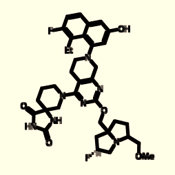 CCc1c(F)ccc2cc(O)cc(N3CCc4c(nc(OCC56CCC(COC)N5C[C@H](F)C6)nc4N4CCCC5(C4)NC(=O)NC5=O)C3)c12